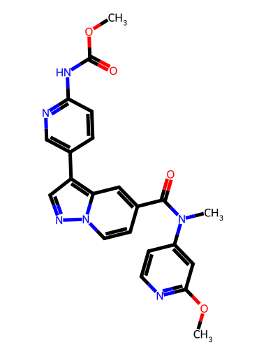 COC(=O)Nc1ccc(-c2cnn3ccc(C(=O)N(C)c4ccnc(OC)c4)cc23)cn1